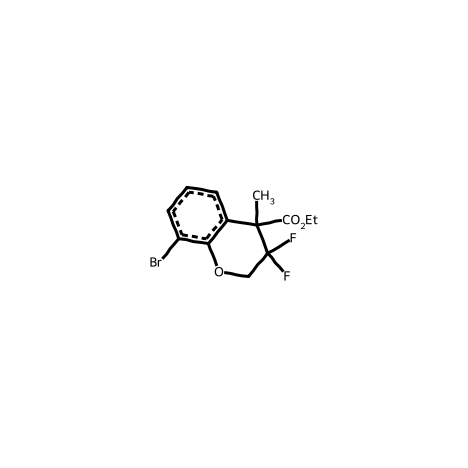 CCOC(=O)C1(C)c2cccc(Br)c2OCC1(F)F